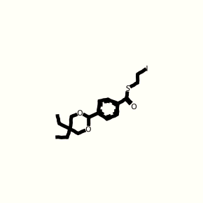 CCC1(CC)COC(c2ccc(C(=O)SCCI)cc2)OC1